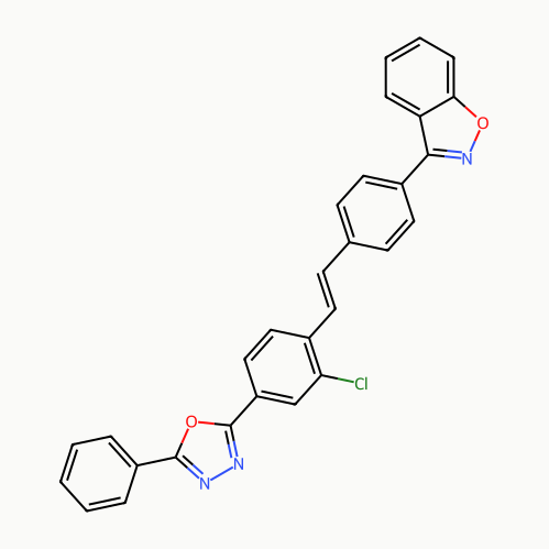 Clc1cc(-c2nnc(-c3ccccc3)o2)ccc1/C=C/c1ccc(-c2noc3ccccc23)cc1